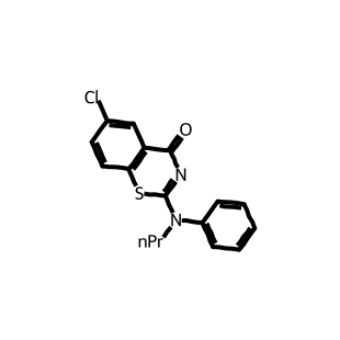 CCCN(c1ccccc1)c1nc(=O)c2cc(Cl)ccc2s1